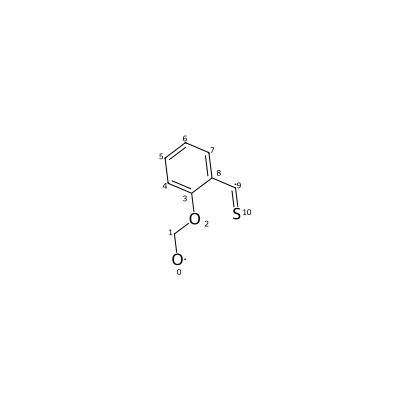 [O]COc1ccccc1[C]=S